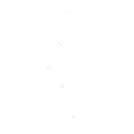 [NH]C(C(=O)NCCO)C(=O)NCCO